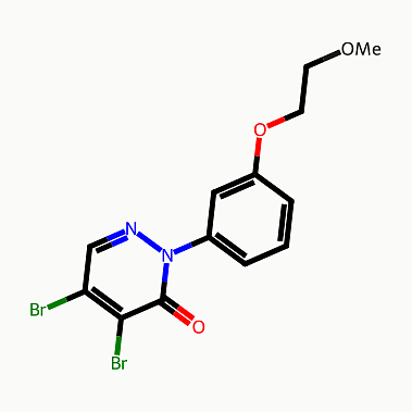 COCCOc1cccc(-n2ncc(Br)c(Br)c2=O)c1